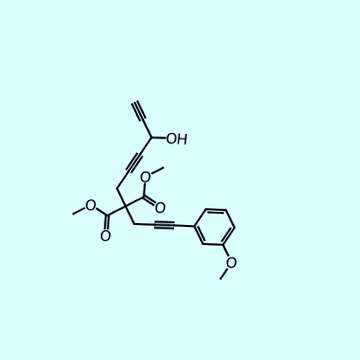 C#CC(O)C#CCC(CC#Cc1cccc(OC)c1)(C(=O)OC)C(=O)OC